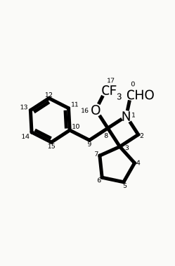 O=CN1CC2(CCCC2)C1(Cc1ccccc1)OC(F)(F)F